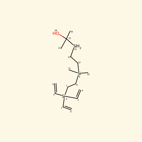 C=C[Si](C=C)(C=C)CC[Si](C)(C)CC[SiH2]C(C)(C)O